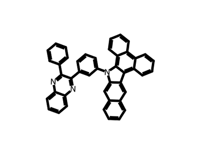 c1ccc(-c2nc3ccccc3nc2-c2cccc(-n3c4cc5ccccc5cc4c4c5ccccc5c5ccccc5c43)c2)cc1